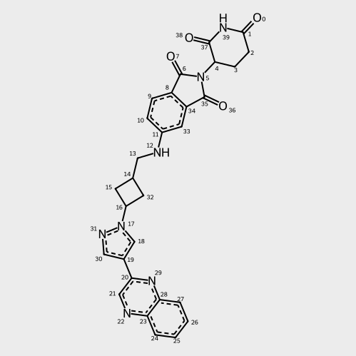 O=C1CCC(N2C(=O)c3ccc(NCC4CC(n5cc(-c6cnc7ccccc7n6)cn5)C4)cc3C2=O)C(=O)N1